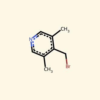 Cc1cncc(C)c1CBr